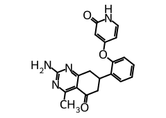 Cc1nc(N)nc2c1C(=O)CC(c1ccccc1Oc1cc[nH]c(=O)c1)C2